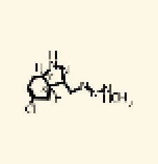 CNN=NCC1=NN[C@H]2CC=C(Cl)C[C@@H]12